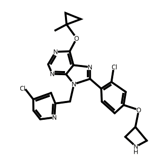 CC1(Oc2ncnc3c2nc(-c2ccc(OC4CNC4)cc2Cl)n3Cc2cc(Cl)ccn2)CC1